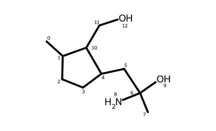 CC1CCC(CC(C)(N)O)C1CO